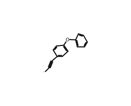 [CH2]C#Cc1ccc(Oc2ccccc2)cc1